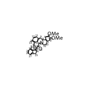 COc1cc2c(cc1OC)C(Cc1ccc(C)c(C)c1)N(CC(=O)N[C@H]1CCc3ccccc31)CC2